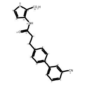 N#Cc1cccc(-c2ccc(CCC(=O)Nc3ccsc3C(=O)O)cc2)c1